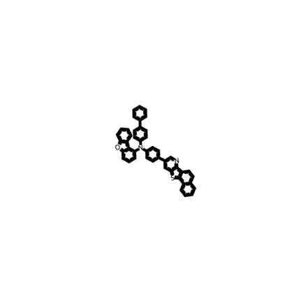 c1ccc(-c2ccc(N(c3ccc(-c4cnc5c(c4)sc4c6ccccc6ccc54)cc3)c3cccc4oc5ccccc5c34)cc2)cc1